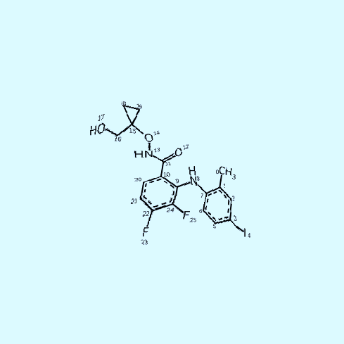 Cc1cc(I)ccc1Nc1c(C(=O)NOC2(CO)CC2)ccc(F)c1F